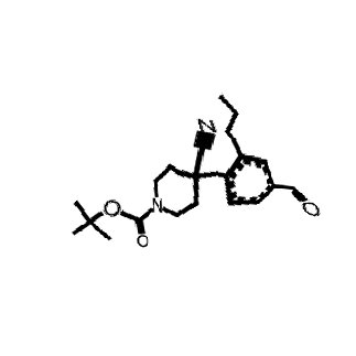 CCCc1cc(C=O)ccc1C1(C#N)CCN(C(=O)OC(C)(C)C)CC1